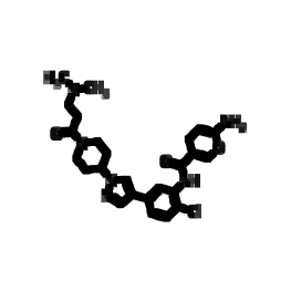 CN(C)CCC(=O)N1CCC(n2cc(-c3ccc(Cl)c(NC(=O)C4=COC(N)=CC4)c3)cn2)CC1